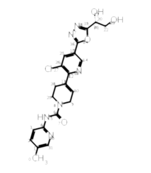 Cc1ccc(NC(=O)N2CC=C(c3ncc(-c4nnc([C@H](O)CO)o4)cc3Cl)CC2)nc1